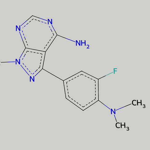 [CH2]Cn1nc(-c2ccc(N(C)C)c(F)c2)c2c(N)ncnc21